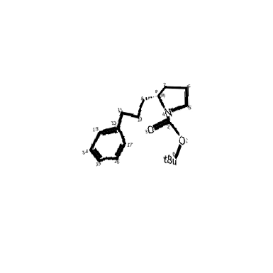 CC(C)(C)OC(=O)N1CCC[C@H]1CCCc1ccccc1